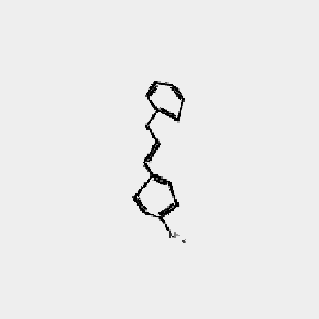 Nc1ccc(C=CCc2ccccc2)cc1